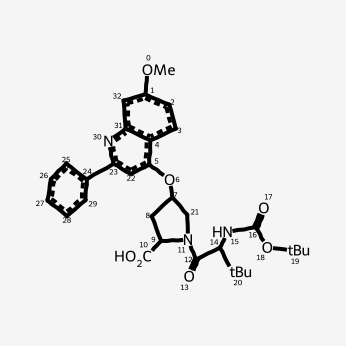 COc1ccc2c(OC3CC(C(=O)O)N(C(=O)C(NC(=O)OC(C)(C)C)C(C)(C)C)C3)cc(-c3ccccc3)nc2c1